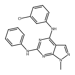 Cn1ncc2c(Nc3cccc(Cl)c3)nc(Nc3ccccc3)nc21